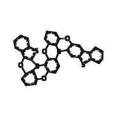 c1cc2c3c(c1)Oc1c(ccc4c1B1c5sc6ccccc6c5Oc5cccc(c51)O4)B3c1cc3sc4ccccc4c3cc1O2